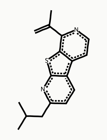 C=C(C)c1nccc2c1sc1nc(CC(C)C)ccc12